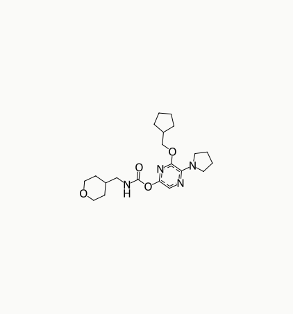 O=C(NCC1CCOCC1)Oc1cnc(N2CCCC2)c(OCC2CCCC2)n1